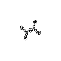 c1cc(N(c2ccc(COC3CCCCO3)cc2)c2cc3ccc4cc(N(c5ccc(COC6CCCCO6)cc5)c5ccc(COC6CCCCO6)cc5)cc5ccc(c2)c3c45)ccc1COC1CCCCO1